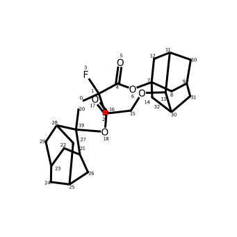 CC(F)(F)C(=O)OC12CC3CC(C1)C(OCC(=O)OC1(C)C4CC5CC(C4)CC1C5)C(C3)C2